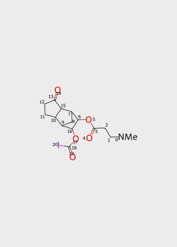 CNCCC(=O)OC1C2CC(C3CCC(=O)C32)C1OC(=O)I